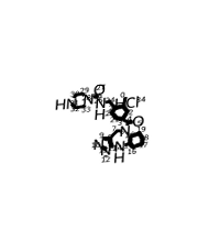 Cc1cc(C(=O)N2Cc3cnn(C)c3Nc3ccccc32)ccc1CNC(=O)N1CCNCC1.Cl